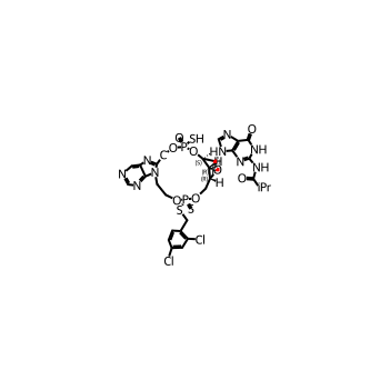 CC(C)C(=O)Nc1nc2c(ncn2[C@@H]2O[C@@H]3COP(=S)(SCc4ccc(Cl)cc4Cl)OCCn4c(nc5cncnc54)COP(=O)(S)O[C@@H]2[C@@H]3F)c(=O)[nH]1